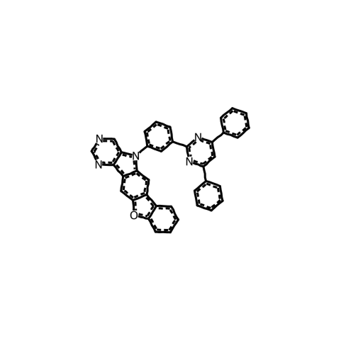 c1ccc(-c2cc(-c3ccccc3)nc(-c3cccc(-n4c5cc6c(cc5c5ncncc54)oc4ccccc46)c3)n2)cc1